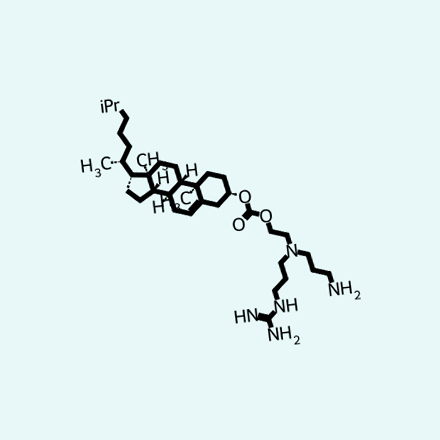 CC(C)CCC[C@@H](C)[C@H]1CC[C@H]2[C@@H]3CC=C4C[C@@H](OC(=O)OCCN(CCCN)CCCNC(=N)N)CC[C@]4(C)[C@H]3CC[C@]12C